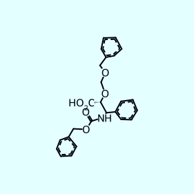 O=C(N[C@@H](c1ccccc1)[C@@H](OCOCc1ccccc1)C(=O)O)OCc1ccccc1